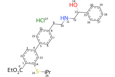 CCOC(=O)c1ccc(-c2ccc(CCNC[C@H](O)c3ccccc3)cc2)cc1SC(C)C.Cl